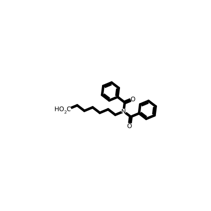 O=C(O)CCCCCCN(C(=O)c1ccccc1)C(=O)c1ccccc1